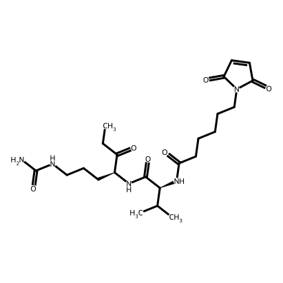 CCC(=O)[C@H](CCCNC(N)=O)NC(=O)[C@@H](NC(=O)CCCCCN1C(=O)C=CC1=O)C(C)C